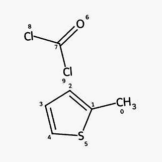 Cc1cccs1.O=C(Cl)Cl